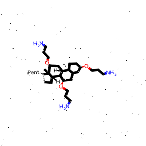 CCC[C@@H](C)[C@H]1CC[C@H]2C3[C@H](OCCCN)CC4C[C@H](OCCCN)CC[C@]4(C)[C@H]3C[C@H](OCCCN)C12C